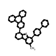 Cc1cc(-c2ccc(-c3ccccc3)cc2)c2sc3c(-c4ccc5c6ccccc6c6ccccc6c5c4)cccc3c2c1